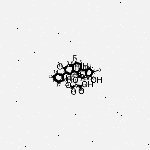 C[C@@H]1C[C@H]2[C@@H]3C[C@H](F)C4=CC(=O)C(c5ccccc5)=C[C@]4(C)[C@@]3(F)[C@@H](O)C[C@]2(C)[C@@H]1O.O=C(O)SC(=O)O